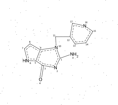 Nc1nc(=O)c2[nH]ccc2n1Cc1cccnc1